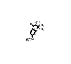 COc1ccc(C(=O)C(C)C(C)(C)C)cc1